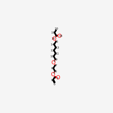 C=CC(=O)OCCCOCCCCCCCOC(=O)CC